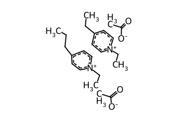 CC(=O)[O-].CC(=O)[O-].CCCc1cc[n+](CC)cc1.CCc1cc[n+](CC)cc1